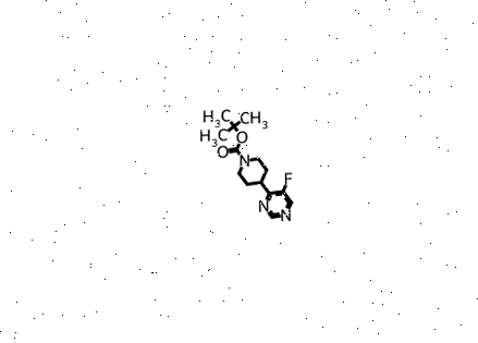 CC(C)(C)OC(=O)N1CCC(c2ncncc2F)CC1